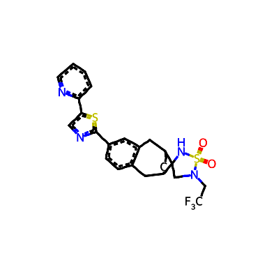 O=S1(=O)NC2(CN1CC(F)(F)F)C1CCC2Cc2cc(-c3ncc(-c4ccccn4)s3)ccc2C1